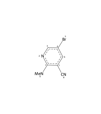 CNc1ncc(Br)cc1C#N